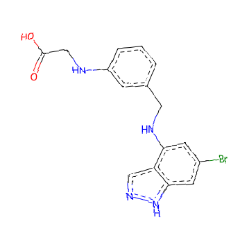 O=C(O)CNc1cccc(CNc2cc(Br)cc3[nH]ncc23)c1